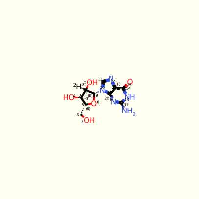 [2H][C@@]1(O)[C@H](O)[C@@H](CO)O[C@H]1n1cnc2c(=O)[nH]c(N)nc21